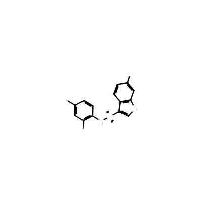 O=S(=O)(Nc1ccc(Cl)cc1F)c1c[nH]c2cc(F)ccc12